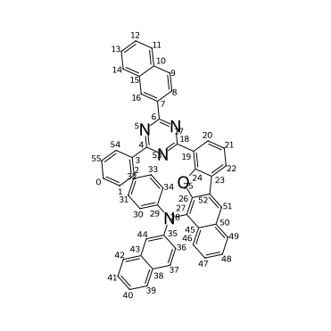 c1ccc(-c2nc(-c3ccc4ccccc4c3)nc(-c3cccc4c3oc3c(N(c5ccccc5)c5ccc6ccccc6c5)c5ccccc5cc34)n2)cc1